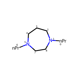 CCCN1CCCN(CCC)CC1